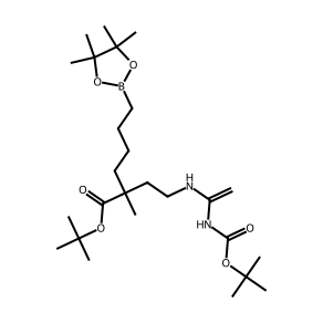 C=C(NCCC(C)(CCCCB1OC(C)(C)C(C)(C)O1)C(=O)OC(C)(C)C)NC(=O)OC(C)(C)C